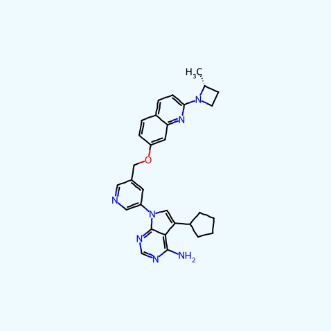 C[C@@H]1CCN1c1ccc2ccc(OCc3cncc(-n4cc(C5CCCC5)c5c(N)ncnc54)c3)cc2n1